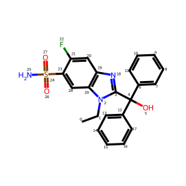 CCn1c(C(O)(c2ccccc2)c2ccccc2)nc2cc(F)c(S(N)(=O)=O)cc21